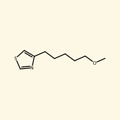 COCCCCCc1cscn1